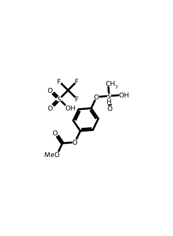 COC(=O)Oc1ccc(O[SH](C)(=O)O)cc1.O=S(=O)(O)C(F)(F)F